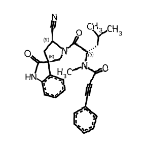 CC(C)C[C@@H](C(=O)N1C[C@]2(C[C@H]1C#N)C(=O)Nc1ccccc12)N(C)C(=O)C#Cc1ccccc1